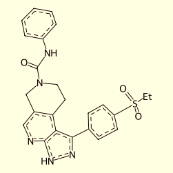 CCS(=O)(=O)c1ccc(-c2n[nH]c3ncc4c(c23)CCN(C(=O)Nc2ccccc2)C4)cc1